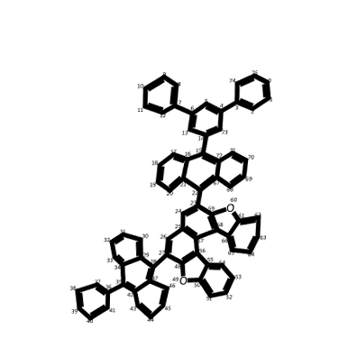 c1ccc(-c2cc(-c3ccccc3)cc(-c3c4ccccc4c(-c4cc5cc(-c6c7ccccc7c(-c7ccccc7)c7ccccc67)c6oc7ccccc7c6c5c5c4oc4ccccc45)c4ccccc34)c2)cc1